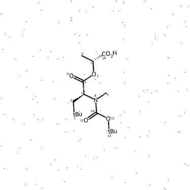 C[C@@H](OC(=O)[C@H](CC(C)(C)C)N(C)C(=O)OC(C)(C)C)C(=O)O